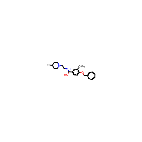 CCC1CCN(CCNC(O)c2ccc(OCC3=CC=CC=CC3)c(OC)c2)CC1